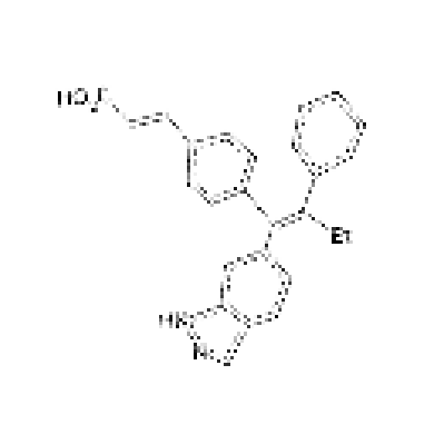 CC/C(=C(/c1ccc(/C=C/C(=O)O)cc1)c1ccc2cn[nH]c2c1)c1ccccc1